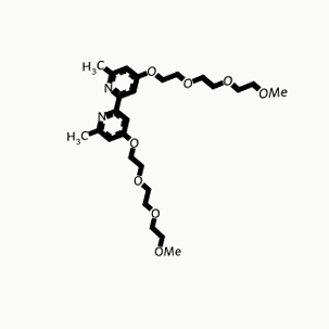 COCCOCCOCCOc1cc(C)nc(-c2cc(OCCOCCOCCOC)cc(C)n2)c1